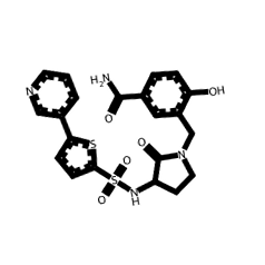 NC(=O)c1ccc(O)c(CN2CCC(NS(=O)(=O)c3ccc(-c4cccnc4)s3)C2=O)c1